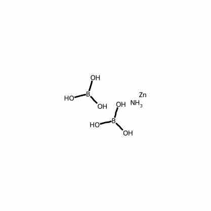 N.OB(O)O.OB(O)O.[Zn]